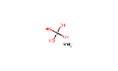 O[Si](O)(O)O.[SnH2]